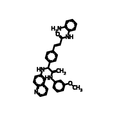 C=C(Nc1cccc(OC)c1)C(Nc1ccc2ncccc2c1)c1ccc(/C=C/C(=O)Nc2ccccc2N)cc1